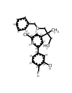 CC(CO)(COCc1ccccc1)c1cc(Cl)nc(-c2ccc(F)c(Cl)c2)c1